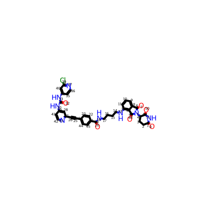 O=C1CCC(N2C(=O)c3cccc(NCCCCNC(=O)c4ccc(C#Cc5cc(NC(=O)Nc6ccnc(Cl)c6)ccn5)cc4)c3C2=O)C(=O)N1